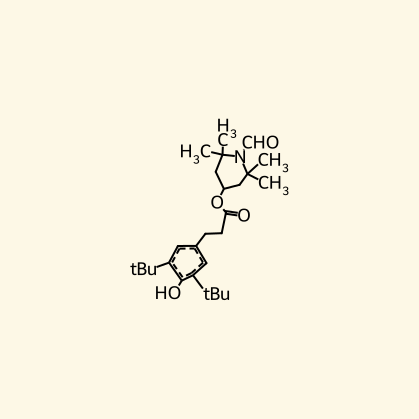 CC(C)(C)c1cc(CCC(=O)OC2CC(C)(C)N(C=O)C(C)(C)C2)cc(C(C)(C)C)c1O